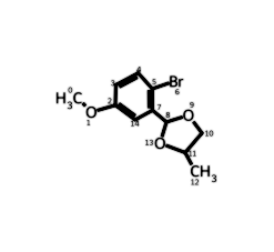 COc1ccc(Br)c(C2OCC(C)O2)c1